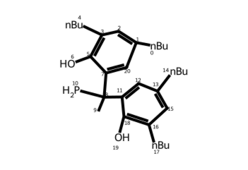 CCCCc1cc(CCCC)c(O)c(C(C)(P)c2cc(CCCC)cc(CCCC)c2O)c1